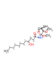 CCCCCCCCC(O)CCC(=O)NC(OC)(OC)C(C[SiH3])OC